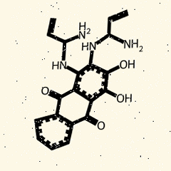 C=CC(N)Nc1c(O)c(O)c2c(c1NC(N)C=C)C(=O)c1ccccc1C2=O